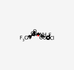 O=C(COc1ccc(Cl)c(F)c1)NC12CC(N3CC(C4CN(CC(F)(F)F)C4)OC3=O)(C1)C2